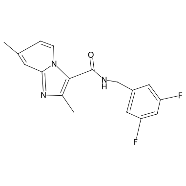 Cc1ccn2c(C(=O)NCc3cc(F)cc(F)c3)c(C)nc2c1